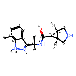 Cc1cccc2c(C(C)(C)NC(=O)[C@H]3[C@@H]4CNC[C@@H]43)nn(C)c12